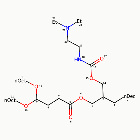 C[CH]CCCCCCCCCC(COC(=O)CCC(OCCCCCCCC)OCCCCCCCC)COC(=O)NCCN(CC)CC